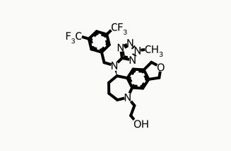 Cn1nnc(N(Cc2cc(C(F)(F)F)cc(C(F)(F)F)c2)[C@H]2CCCN(CCO)c3cc4c(cc32)COC4)n1